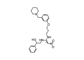 O=[N+]([O-])/C=C(\NCCCOc1cccc(CN2CCCCC2)c1)NCC(O)c1ccccc1